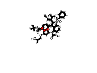 CC(O)CO[C@H]1C[C@@H](n2c(=O)n(C)c3cnc4c(c(-c5ccc(O)cc5)c(-c5cn(C)nc5F)n4S(=O)(=O)c4ccccc4)c32)C[C@@H]1NC(=O)OC(C)(C)C